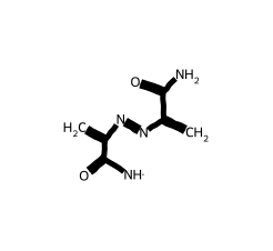 C=C(N=NC(=C)C(N)=O)C([NH])=O